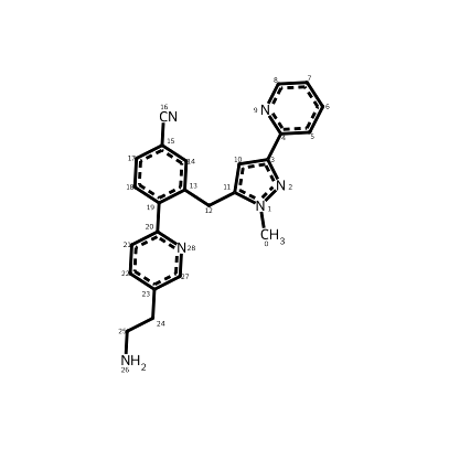 Cn1nc(-c2ccccn2)cc1Cc1cc(C#N)ccc1-c1ccc(CCN)cn1